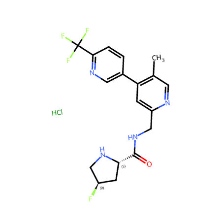 Cc1cnc(CNC(=O)[C@@H]2C[C@@H](F)CN2)cc1-c1ccc(C(F)(F)F)nc1.Cl